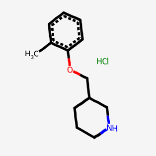 Cc1ccccc1OCC1CCCNC1.Cl